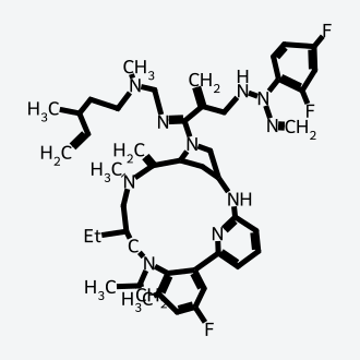 C=CC(C)CCN(C)C/N=C(\C(=C)CNN(N=C)c1ccc(F)cc1F)N1CC2CC1C(=C)N(C)CC(CC)CN(C(=C)C)c1c(C)cc(F)cc1-c1cccc(n1)N2